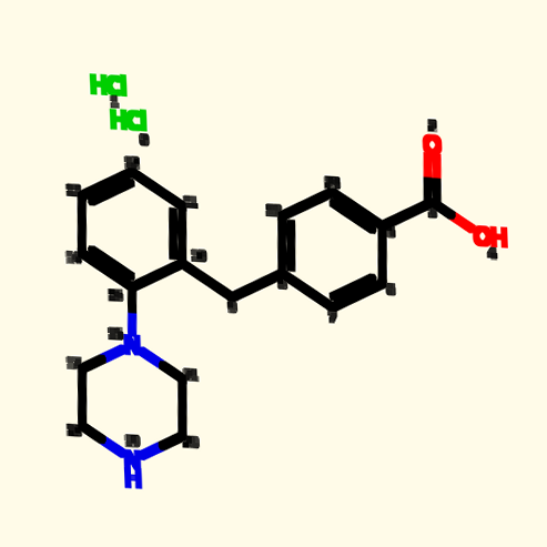 Cl.Cl.O=C(O)c1ccc(Cc2ccccc2N2CCNCC2)cc1